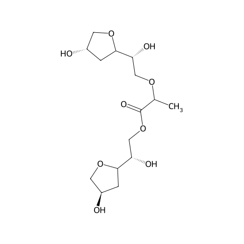 CC(OC[C@@H](O)C1C[C@H](O)CO1)C(=O)OC[C@H](O)C1C[C@@H](O)CO1